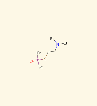 CCN(CC)CCSP(=O)(C(C)C)C(C)C